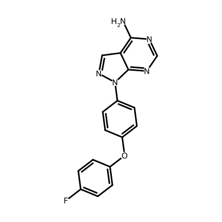 Nc1ncnc2c1cnn2-c1ccc(Oc2ccc(F)cc2)cc1